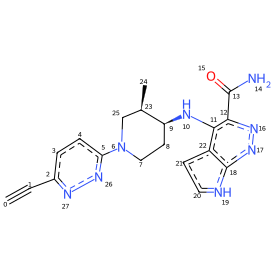 C#Cc1ccc(N2CC[C@H](Nc3c(C(N)=O)nnc4[nH]ccc34)[C@H](C)C2)nn1